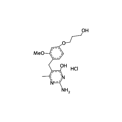 COc1cc(OCCCO)ccc1Cc1c(C)nc(N)nc1O.Cl